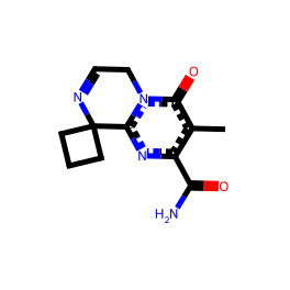 Cc1c(C(N)=O)nc2n(c1=O)CC=NC21CCC1